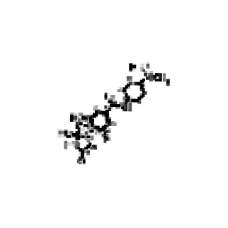 CN(C)C1CCC(NC(=O)c2cc(O)c(N3CC(=O)NS3(O)O)c(F)c2)CC1